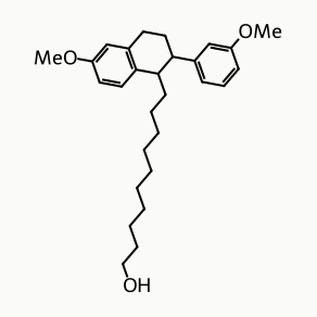 COc1cccc(C2CCc3cc(OC)ccc3C2CCCCCCCCCCO)c1